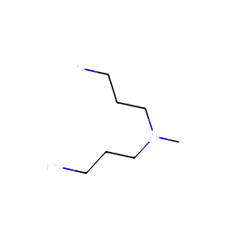 CC(C)(C)N(CCCN)CCCN